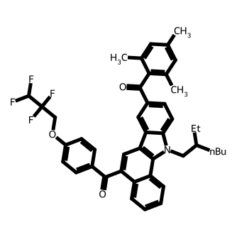 CCCCC(CC)Cn1c2ccc(C(=O)c3c(C)cc(C)cc3C)cc2c2cc(C(=O)c3ccc(OCC(F)(F)C(F)F)cc3)c3ccccc3c21